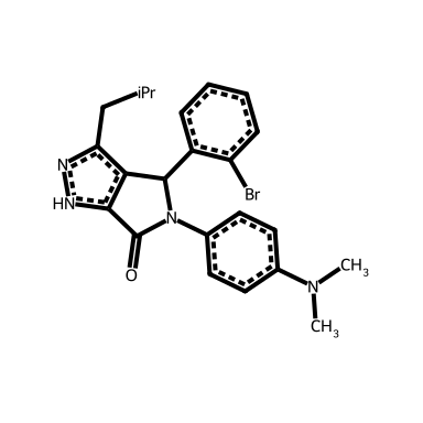 CC(C)Cc1n[nH]c2c1C(c1ccccc1Br)N(c1ccc(N(C)C)cc1)C2=O